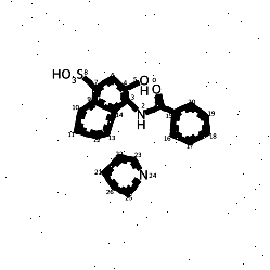 O=C(Nc1c(O)cc(S(=O)(=O)O)c2ccccc12)c1ccccc1.c1ccncc1